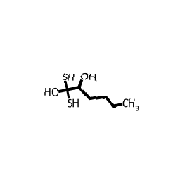 CCCCC(O)C(O)(S)S